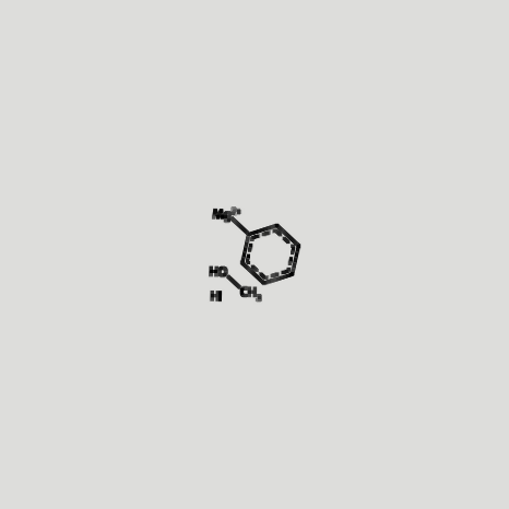 CO.I.[Mg+2][c]1ccccc1